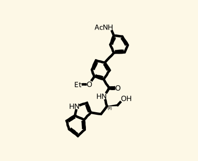 CCOc1ccc(-c2cccc(NC(C)=O)c2)cc1C(=O)N[C@@H](CO)Cc1c[nH]c2ccccc12